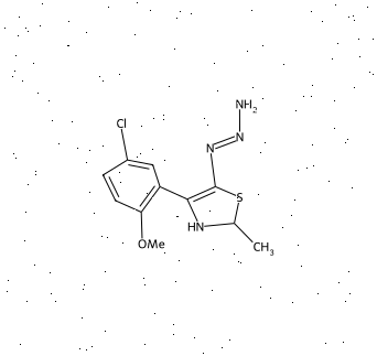 COc1ccc(Cl)cc1C1=C(N=NN)SC(C)N1